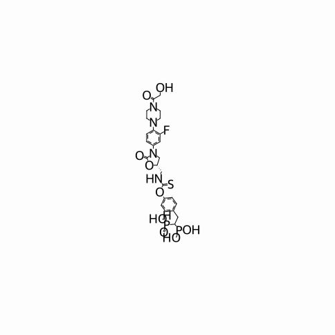 O=C(CO)N1CCN(c2ccc(N3C[C@H](CNC(=S)Oc4ccc(CC(P(O)O)[PH](=O)O)cc4)OC3=O)cc2F)CC1